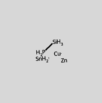 [Cu].[SiH3]P.[SnH2].[Zn]